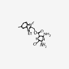 CCn1c(COC(=O)c2nc(Cl)c(N)nc2N)[n+](C)c2ccc(C)cc21